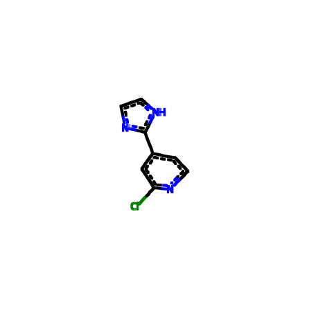 Clc1cc(-c2ncc[nH]2)ccn1